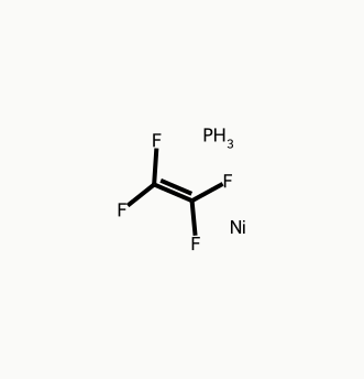 FC(F)=C(F)F.P.[Ni]